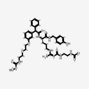 CCC(=O)NCCNC(=O)/N=C(/N)NCCC[C@@H](NC(=O)C(c1ccccc1)c1cccc(OCCOCCNC(=O)OC(C)(C)C)c1)C(=O)NCc1ccc(O)cc1